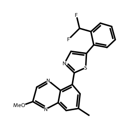 COc1cnc2c(-c3ncc(-c4ccccc4C(F)F)s3)cc(C)cc2n1